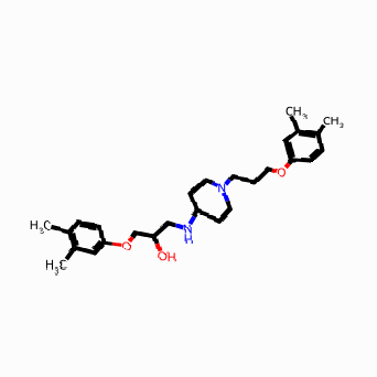 Cc1ccc(OCCCN2CCC(NCC(O)COc3ccc(C)c(C)c3)CC2)cc1C